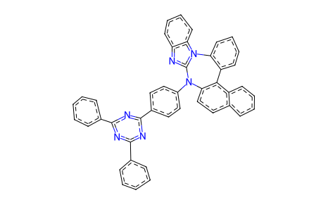 c1ccc(-c2nc(-c3ccccc3)nc(-c3ccc(N4c5ccc6ccccc6c5-c5ccccc5-n5c4nc4ccccc45)cc3)n2)cc1